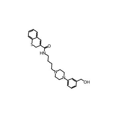 O=C(NCCCCN1CCN(c2cccc(CO)c2)CC1)C1=Cc2ccccc2SC1